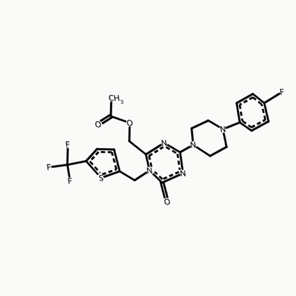 CC(=O)OCc1nc(N2CCN(c3ccc(F)cc3)CC2)nc(=O)n1Cc1ccc(C(F)(F)F)s1